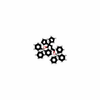 C1=CCC(C(CC=CO[Si](c2ccccc2)(c2ccccc2)c2ccccc2)(CO[Si](c2ccccc2)(c2ccccc2)c2ccccc2)C2=CC=CC2)=C1